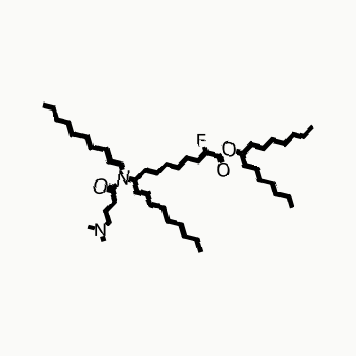 CCCCCCCCCCN(C(=O)CCCN(C)C)C(CCCCCCCCC)CCCCCCC(F)C(=O)OC(CCCCCCC)CCCCCCC